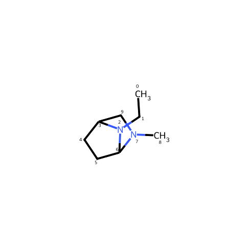 CCN1C2CCC1N(C)C2